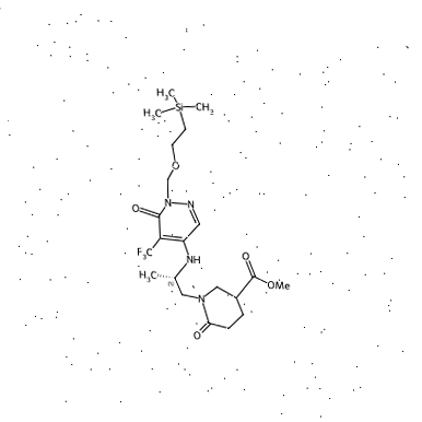 COC(=O)C1CCC(=O)N(C[C@H](C)Nc2cnn(COCC[Si](C)(C)C)c(=O)c2C(F)(F)F)C1